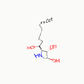 CCCCCCCCCCCCC(O)[C@@H]1NC[C@H](O)[C@H]1O